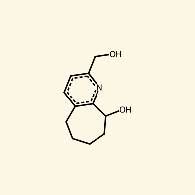 OCc1ccc2c(n1)C(O)CCCC2